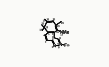 C/N=C/C=C\C1=C(C/C=N/F)C(NC)=C(C)C=C(C)C1(C)C